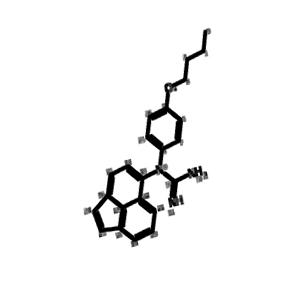 CCCCOc1ccc(N(C(=N)N)c2ccc3c4c(cccc24)C=C3)cc1